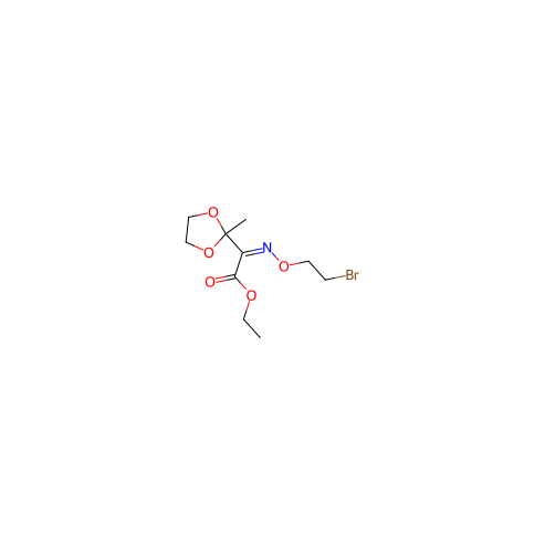 CCOC(=O)C(=NOCCBr)C1(C)OCCO1